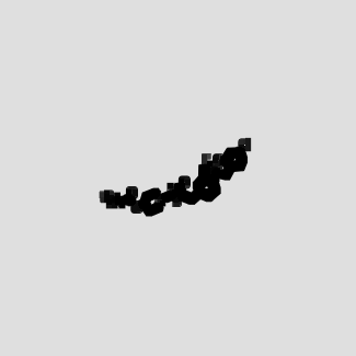 CC(C)(C)NC(=O)OC1CCN(C2=NC(=O)C(=Cc3ccc4c(cnn4Cc4ccc(Cl)cc4C(F)(F)F)c3)S2)CC1